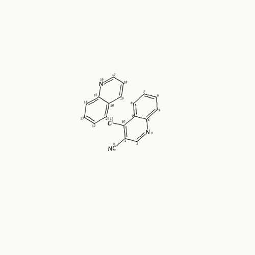 N#Cc1cnc2ccccc2c1Cl.c1ccc2ncccc2c1